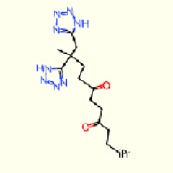 CC(C)CCC(=O)CCC(=O)CCC(C)(Cc1nnn[nH]1)c1nnn[nH]1